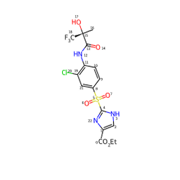 CCOC(=O)c1c[nH]c(S(=O)(=O)c2ccc(NC(=O)[C@@](C)(O)C(F)(F)F)c(Cl)c2)n1